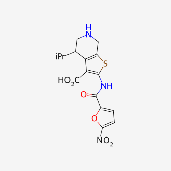 CC(C)C1CNCc2sc(NC(=O)c3ccc([N+](=O)[O-])o3)c(C(=O)O)c21